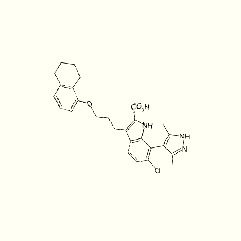 Cc1n[nH]c(C)c1-c1c(Cl)ccc2c(CCCOc3cccc4c3CCCC4)c(C(=O)O)[nH]c12